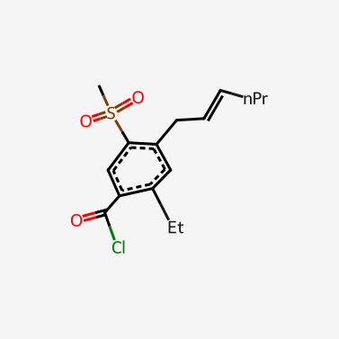 CCC/C=C/Cc1cc(CC)c(C(=O)Cl)cc1S(C)(=O)=O